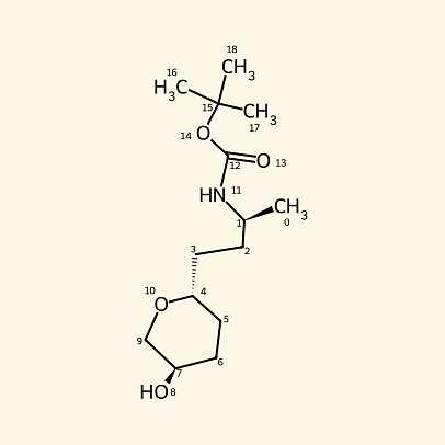 C[C@@H](CC[C@@H]1CC[C@@H](O)CO1)NC(=O)OC(C)(C)C